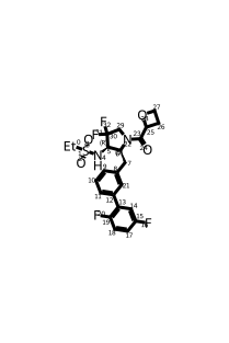 CCS(=O)(=O)N[C@@H]1[C@H](Cc2cccc(-c3cc(F)ccc3F)c2)N(C(=O)C2CCO2)CC1(F)F